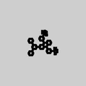 c1ccc(-c2cc(-c3ccccc3)cc(-c3ccc4c(-c5cccc(-c6nccs6)c5)c5ccccc5c(-c5cccc(-c6nccs6)c5)c4c3)c2)cc1